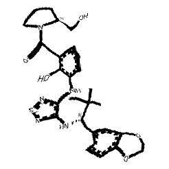 CC(C)(C)[C@@H](Nc1nsnc1Nc1cccc(C(=O)N2CCC[C@H]2CO)c1O)c1ccc2c(c1)OCO2